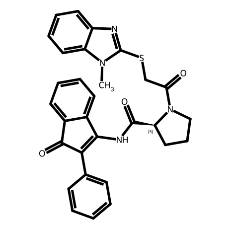 Cn1c(SCC(=O)N2CCC[C@H]2C(=O)NC2=C(c3ccccc3)C(=O)c3ccccc32)nc2ccccc21